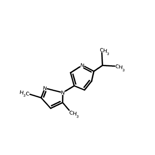 Cc1cc(C)n(-c2ccc(C(C)C)nc2)n1